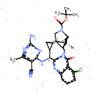 Cc1nc(N)nc(N[C@H](c2nc3cccc(Cl)c3c(=O)n2C2[C@H]3CN(C(=O)OC(C)(C)C)C[C@@H]23)C2CC2)c1C#N